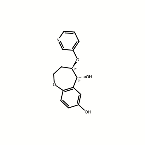 Oc1ccc2c(c1)[C@@H](O)[C@H](Oc1cccnc1)CCO2